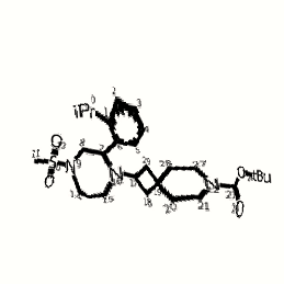 CC(C)c1ccccc1C1CN(S(C)(=O)=O)CCN1C1CC2(CCN(C(=O)OC(C)(C)C)CC2)C1